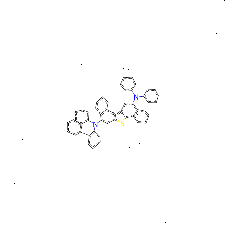 c1ccc(-c2ccccc2N(c2ccccc2)c2cc3sc4c5ccccc5c(N(c5ccccc5)c5ccccc5)cc4c3c3ccccc23)cc1